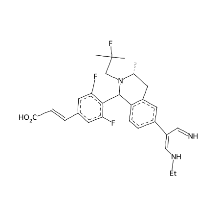 CCN/C=C(\C=N)c1ccc2c(c1)C[C@@H](C)N(CC(C)(C)F)C2c1c(F)cc(/C=C/C(=O)O)cc1F